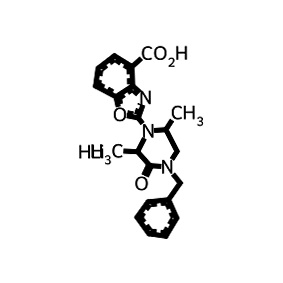 CC1CN(Cc2ccccc2)C(=O)C(C)N1c1nc2c(C(=O)O)cccc2o1.[LiH]